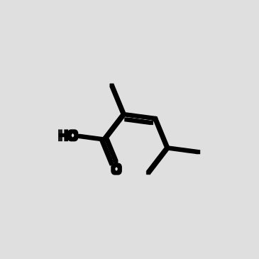 C/C(=C/C(C)C)C(=O)O